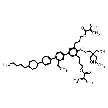 C=C(C)C(=O)OCCCc1cc(-c2ccc(C3=CCC(C4CCC(CCCCC)CC4)C=C3)c(CC)c2)cc(CCCOC(=O)C(=C)C)c1OCCC(CO)(CO)CCC